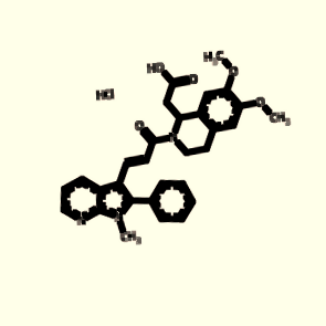 COc1cc2c(cc1OC)C(CC(=O)O)N(C(=O)/C=C/c1c(-c3ccccc3)n(C)c3ncccc13)CC2.Cl